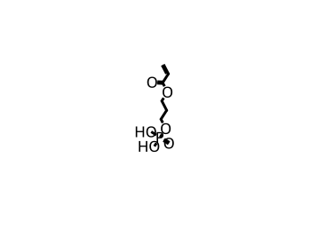 C=CC(=O)OCCCOP(=O)(O)O